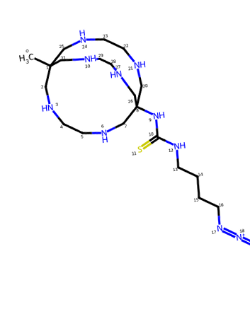 CC12CNCCNCC(NC(=S)NCCCCN=[N+]=[N-])(CNCCNC1)CNCCNC2